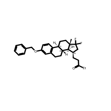 CCC(=O)CC[C@@H]1CC(F)(F)[C@@]2(C)CC[C@@H]3c4ccc(OCc5ccccc5)cc4CC[C@H]3[C@H]12